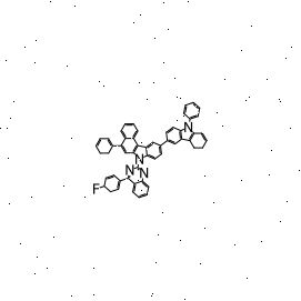 FC1C=CC(c2nc(-n3c4ccc(-c5ccc6c(c5)c5c(n6-c6ccccc6)C=CCC5)cc4c4c5ccccc5c(C5=CC=CCC5)cc43)nc3ccccc23)=CC1